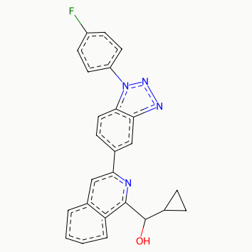 OC(c1nc(-c2ccc3c(c2)nnn3-c2ccc(F)cc2)cc2ccccc12)C1CC1